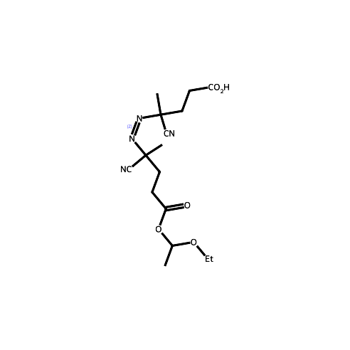 CCOC(C)OC(=O)CCC(C)(C#N)/N=N\C(C)(C#N)CCC(=O)O